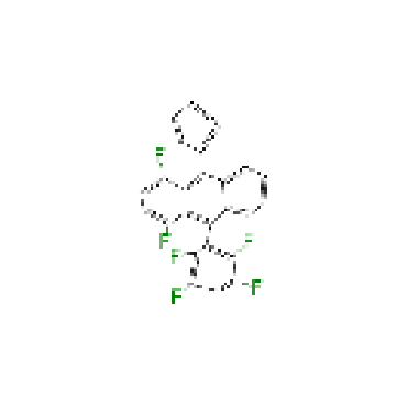 Fc1cc(F)c(F)c(-c2c3ccccc3c(-c3ccccc3)c3c(F)ccc(F)c23)c1F